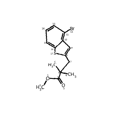 COC(=O)C(C)(C)Cc1cc2c(Br)cccc2s1